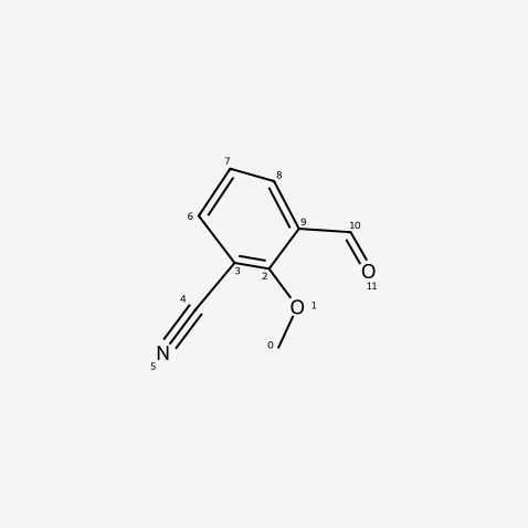 COc1c(C#N)cccc1C=O